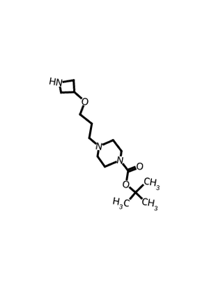 CC(C)(C)OC(=O)N1CCN(CCCOC2CNC2)CC1